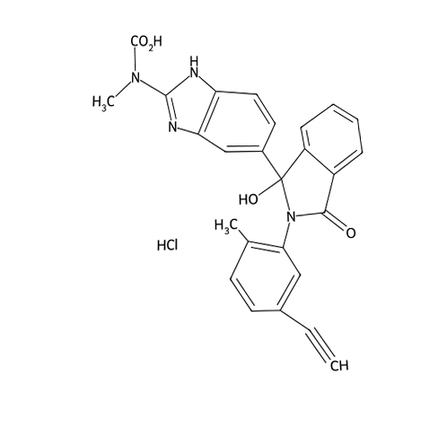 C#Cc1ccc(C)c(N2C(=O)c3ccccc3C2(O)c2ccc3[nH]c(N(C)C(=O)O)nc3c2)c1.Cl